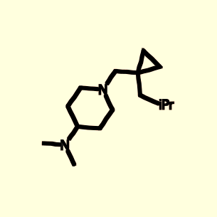 CC(C)CC1(CN2CCC(N(C)C)CC2)CC1